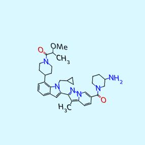 COC(C)C(=O)N1CCC(c2cccc3cc(-c4nn5cc(C(=O)N6CCCC(N)C6)ccc5c4C)n(CC4CC4)c23)CC1